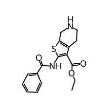 CCOC(=O)c1c(NC(=O)c2ccccc2)sc2c1CCNC2